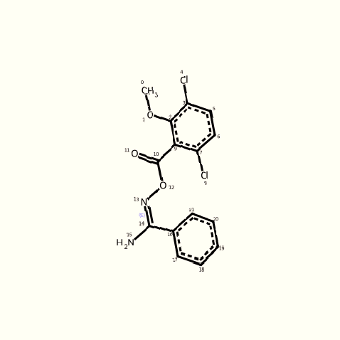 COc1c(Cl)ccc(Cl)c1C(=O)O/N=C(/N)c1ccccc1